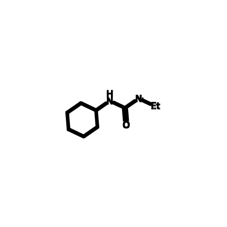 CC[N]C(=O)NC1CCCCC1